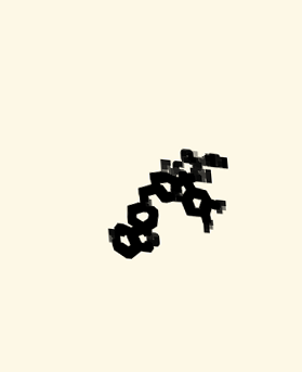 CC(C)(C)[S+]([O-])NC(c1ccc(F)c(F)c1)(c1ccc(CN2CCC3(CC2)OCc2ccncc23)cn1)C(F)(F)F